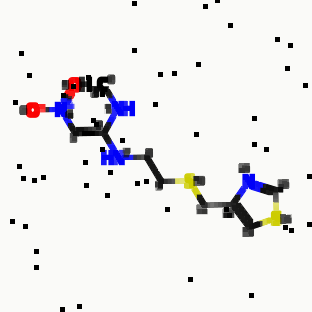 CNC(=C[N+](=O)[O-])NCCSCc1cs[c]n1